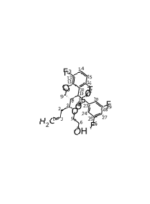 C=CC[C@H](OCCO)[C@@H]1COc2c(F)ccc(F)c2[C@H]1S(=O)(=O)c1cc(F)cc(F)c1